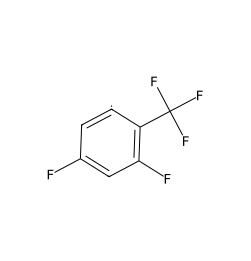 Fc1c[c]c(C(F)(F)F)c(F)c1